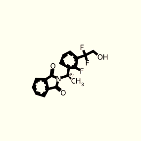 C[C@H](c1cccc(C(F)(F)CO)c1F)N1C(=O)c2ccccc2C1=O